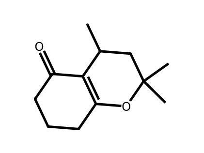 CC1CC(C)(C)OC2=C1C(=O)CCC2